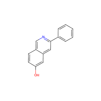 Oc1ccc2cnc(-c3ccccc3)cc2c1